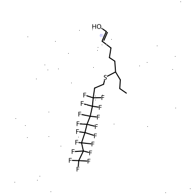 CCCC(CCC/C=C/O)SCCC(F)(F)C(F)(F)C(F)(F)C(F)(F)C(F)(F)C(F)(F)C(F)(F)C(F)(F)F